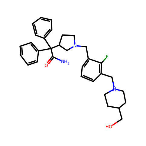 NC(=O)C(c1ccccc1)(c1ccccc1)C1CCN(Cc2cccc(CN3CCC(CO)CC3)c2F)C1